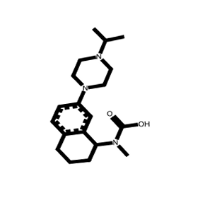 CC(C)N1CCN(c2ccc3c(c2)C(N(C)C(=O)O)CCC3)CC1